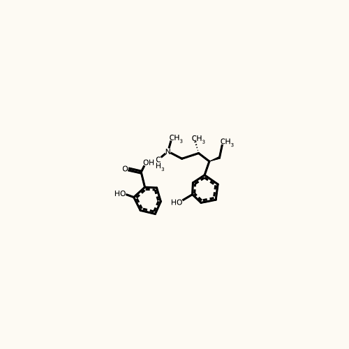 CC[C@@H](c1cccc(O)c1)[C@@H](C)CN(C)C.O=C(O)c1ccccc1O